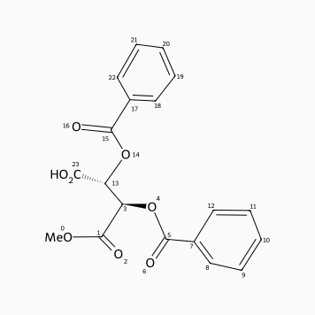 COC(=O)[C@H](OC(=O)c1ccccc1)[C@@H](OC(=O)c1ccccc1)C(=O)O